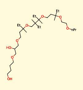 CCCOCCOC(C)(CC)CCOC(C)(CC)C(C)(CC)COC(C)(CC)CCOCC(O)COCCCCO